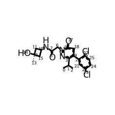 CC(C)c1nn(CC(=O)N[C@H]2C[C@](C)(O)C2)c(=O)cc1-c1cc(Cl)ccc1Cl